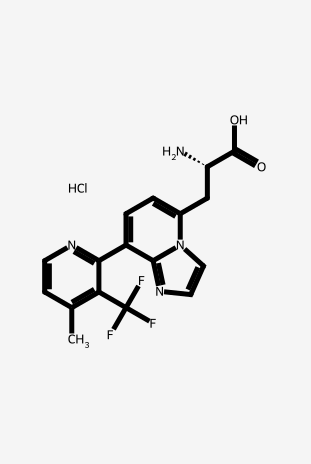 Cc1ccnc(-c2ccc(C[C@H](N)C(=O)O)n3ccnc23)c1C(F)(F)F.Cl